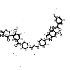 COc1cc2nn(C3CCN(CCCC4CCN(C(=O)c5ccc(OC)c(N6CCC(=O)NC6=O)c5)CC4)CC3)cc2cc1NC(=O)c1cccc(C)n1